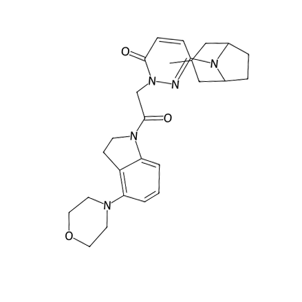 CC1CC2CCC(C1)N2c1ccc(=O)n(CC(=O)N2CCc3c(N4CCOCC4)cccc32)n1